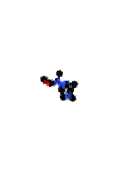 C1=C(c2ccccc2)NC(n2c3ccccc3c3c(-c4cc5c(cc4-c4ccccc4)c4ccccc4n5-c4ccccc4)cccc32)N=C1c1ccc2oc3ccccc3c2c1